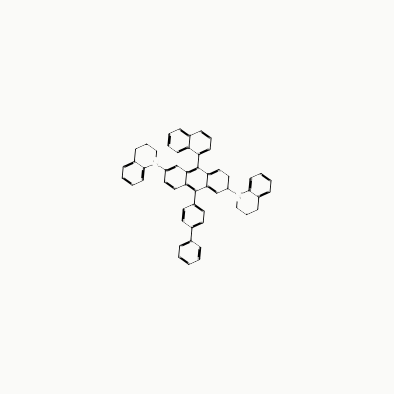 C1=c2c(-c3ccc(-c4ccccc4)cc3)c3ccc(N4CCCc5ccccc54)cc3c(-c3cccc4ccccc34)c2=CCC1N1CCCc2ccccc21